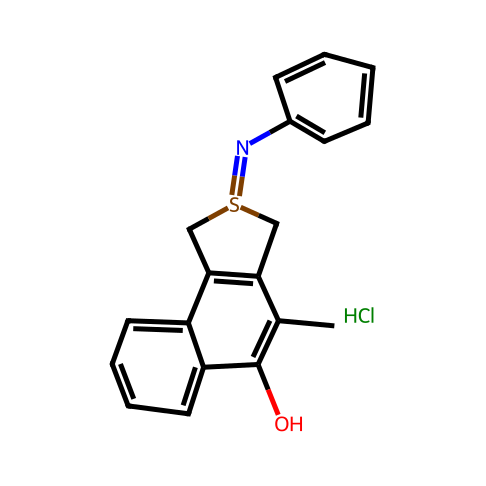 Cc1c2c(c3ccccc3c1O)CS(=Nc1ccccc1)C2.Cl